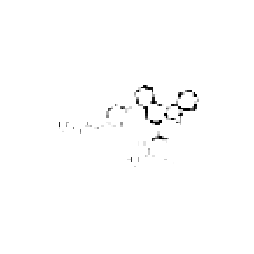 COCCN1CCN(c2ccnc3c2cc(C(=O)NC(C)C)c2nc4ccccc4n23)CC1